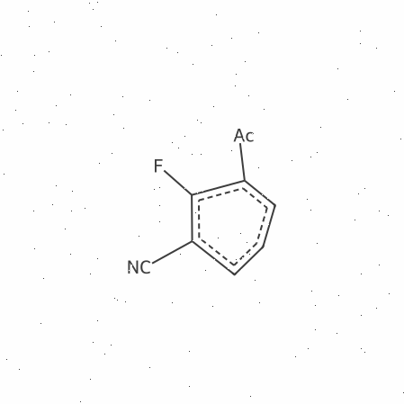 CC(=O)c1cccc(C#N)c1F